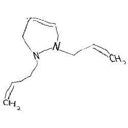 C=CCN1C=[C]CN1CC=C